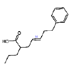 CCCC(C/C=C/CCc1ccccc1)C(=O)O